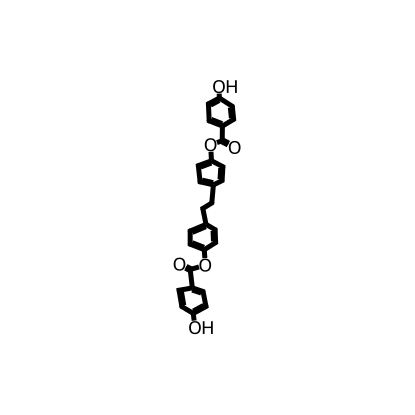 O=C(Oc1ccc(CCc2ccc(OC(=O)c3ccc(O)cc3)cc2)cc1)c1ccc(O)cc1